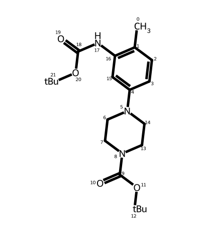 Cc1ccc(N2CCN(C(=O)OC(C)(C)C)CC2)cc1NC(=O)OC(C)(C)C